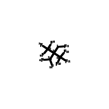 FCC([C](F)F)(C(F)(F)F)C(F)(F)F